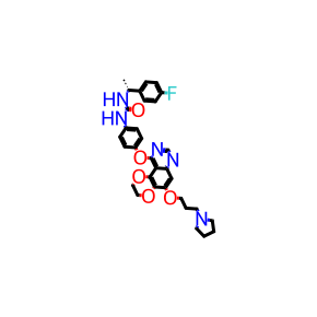 C[C@@H](NC(=O)Nc1ccc(Oc2ncnc3cc(OCCCN4CCCC4)c4c(c23)OCCO4)cc1)c1ccc(F)cc1